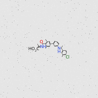 Cc1cc(C(C)Nc2cccc(-c3cc(C)c(C(=O)N[C@@H](C)C(=O)O)c(C)c3)c2)ccc1Cl